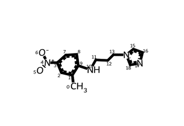 Cc1cc([N+](=O)[O-])ccc1NCCCn1ccnc1